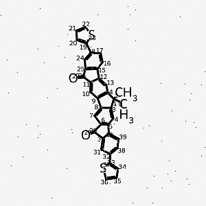 CC1(C)c2cc3c(cc2-c2cc4c(cc21)-c1ccc(-c2cccs2)cc1C4=O)C(=O)c1cc(-c2cccs2)ccc1-3